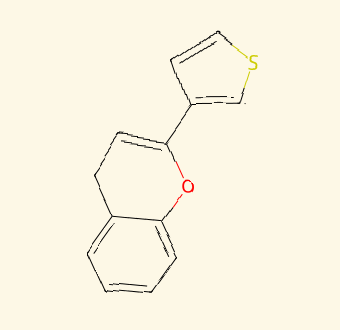 [c]1sccc1C1=CCc2ccccc2O1